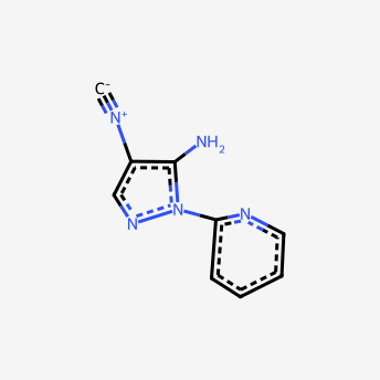 [C-]#[N+]c1cnn(-c2ccccn2)c1N